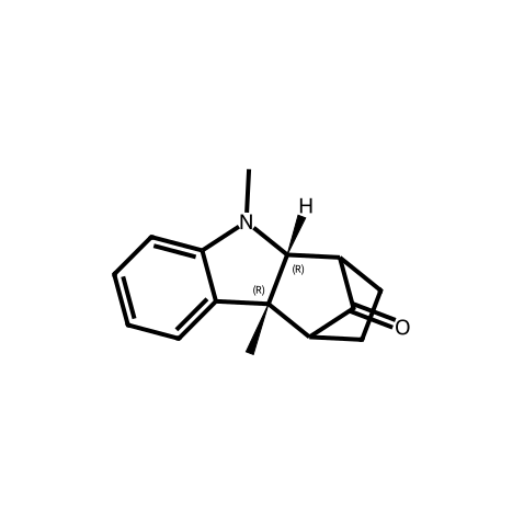 CN1c2ccccc2[C@@]2(C)C3CCC(C3=O)[C@@H]12